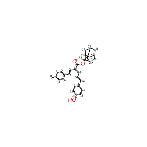 Cc1ccc(C=CC(=CC=Cc2ccc(O)cc2)C(=O)OC2(C)C3CC4CC(C3)CC2C4)cc1